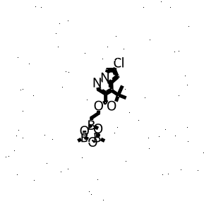 CB1OB(C)OB(CCOC(=O)c2cnn3cc(Cl)cc3c2C(C)(C)C)O1